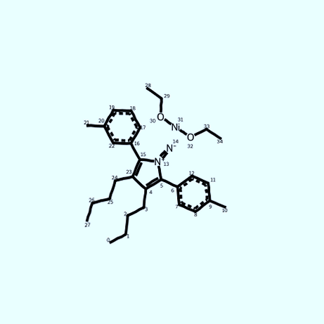 CCCCC1=C(c2ccc(C)cc2)[N+](=[N-])C(c2cccc(C)c2)=C1CCCC.CC[O][Ni][O]CC